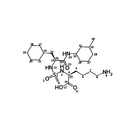 C=S(=O)(N[C@@H](CCCCN)C(=O)O)N[C@@H](CC1CCCCC1)C(=O)NC1CCCC(C)C1